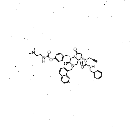 C#CCN(C(=O)NCc1ccccc1)N1CC(=O)N2[C@@H](Cc3ccc(OC(=O)NCCN(C)C)cc3)C(=O)N(Cc3cccc4ccccc34)C[C@@H]21